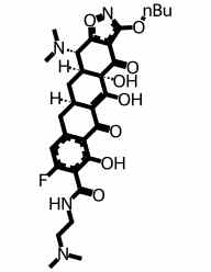 CCCCOc1noc2c1C(=O)[C@@]1(O)C(O)=C3C(=O)c4c(cc(F)c(C(=O)NCCN(C)C)c4O)C[C@H]3C[C@H]1[C@@H]2N(C)C